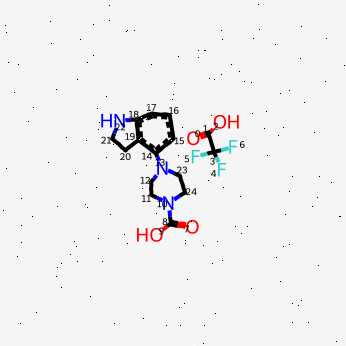 O=C(O)C(F)(F)F.O=C(O)N1CCN(c2cccc3c2CCN3)CC1